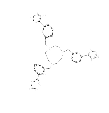 c1cc(CN2CCN(Cc3cccc(-c4nnn[nH]4)n3)CCN(Cc3cccc(-c4nnn[nH]4)n3)CC2)nc(-c2nnn[nH]2)c1